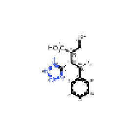 CC(C)C[C@H](C(=O)O)[C@@H](c1nnn[nH]1)[C@H](C)c1ccccc1